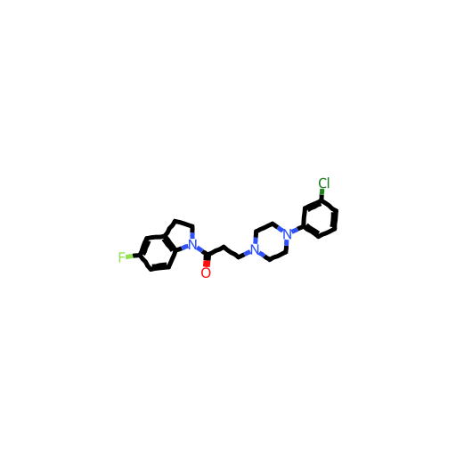 O=C(CCN1CCN(c2cccc(Cl)c2)CC1)N1CCc2cc(F)ccc21